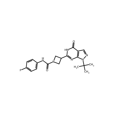 CC(C)(C)n1ncc2c(=O)[nH]c(C3CN(C(=O)Nc4ccc(F)cc4)C3)nc21